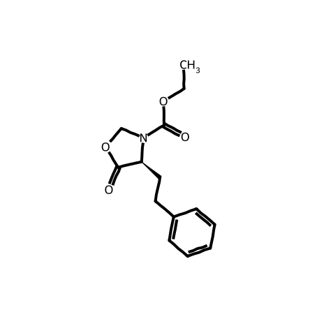 CCOC(=O)N1COC(=O)[C@@H]1CCc1ccccc1